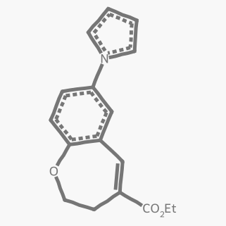 CCOC(=O)C1=Cc2cc(-n3cccc3)ccc2OCC1